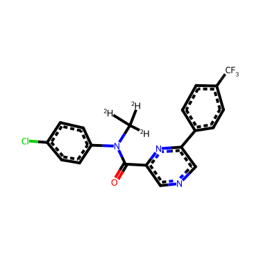 [2H]C([2H])([2H])N(C(=O)c1cncc(-c2ccc(C(F)(F)F)cc2)n1)c1ccc(Cl)cc1